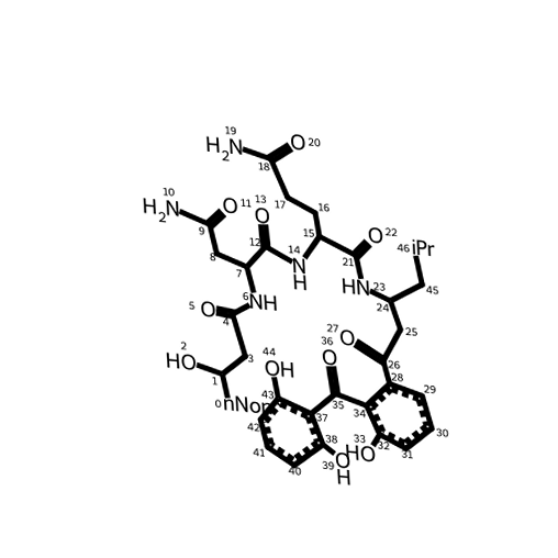 CCCCCCCCCC(O)CC(=O)NC(CC(N)=O)C(=O)NC(CCC(N)=O)C(=O)NC(CC(=O)c1cccc(O)c1C(=O)c1c(O)cccc1O)CC(C)C